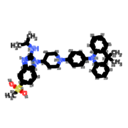 CC(C)Nc1nc2cc(S(C)(=O)=O)ccc2n1C1CCN(c2ccc(N3c4ccccc4C(C)(C)c4ccccc43)cc2)CC1